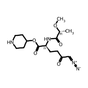 CO[C@H](C)C(=O)N[C@@H](CCC(=O)C=[N+]=[N-])C(=O)OC1CCNCC1